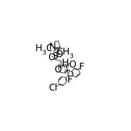 CN1CCC[C@@]1(C)CS(=O)(=O)CC[C@@H]1OCC[C@@]2(Cc3ccc(Cl)cc3)c3c(F)ccc(F)c3OC[C@@H]12